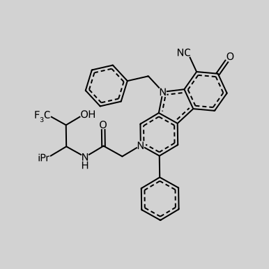 CC(C)C(NC(=O)Cn1cc2c(cc1-c1ccccc1)c1ccc(=O)c(C#N)c1n2Cc1ccccc1)C(O)C(F)(F)F